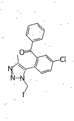 Cc1nnn(CI)c1-c1ccc(Cl)cc1C(=O)c1ccccc1